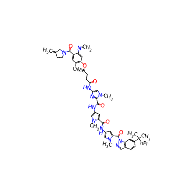 C=Nc1cc(OCCCC(=O)Nc2cn(C)c(C(=O)Nc3cc(C(=O)Nc4cc(C(=O)n5ncc6ccc(C(C)(C)CCC)cc65)n(C)c4)n(C)c3)n2)c(OC)cc1C(=O)N1CCC(=C)C1